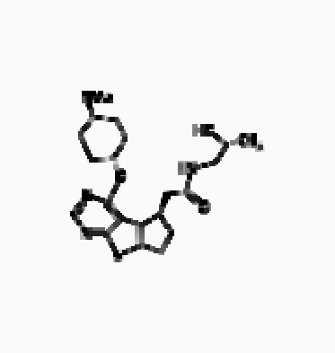 CN[C@H]1CC[C@H](Oc2ncnc3sc4c(c23)[C@@H](CC(=O)NC[C@@H](C)O)CC4)CC1